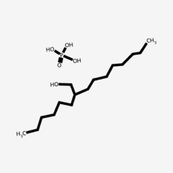 CCCCCCCCC(CO)CCCCCC.O=P(O)(O)O